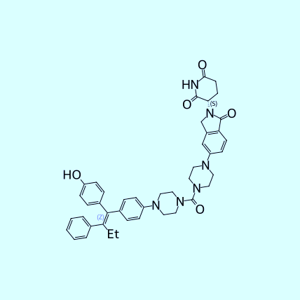 CC/C(=C(/c1ccc(O)cc1)c1ccc(N2CCN(C(=O)N3CCN(c4ccc5c(c4)CN([C@H]4CCC(=O)NC4=O)C5=O)CC3)CC2)cc1)c1ccccc1